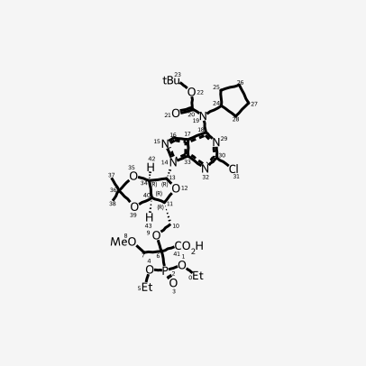 CCOP(=O)(OCC)C(COC)(OC[C@H]1O[C@@H](n2ncc3c(N(C(=O)OC(C)(C)C)C4CCCC4)nc(Cl)nc32)[C@@H]2OC(C)(C)O[C@@H]21)C(=O)O